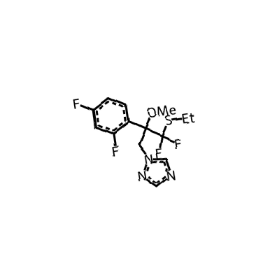 CCSC(F)(F)C(Cn1cncn1)(OC)c1ccc(F)cc1F